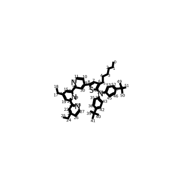 CCCCCCc1cc(-c2ccnc(-c3cc(CC)cc(-c4cc(CC)ccn4)n3)c2)sc1N(c1ccc(C(C)(C)C)cc1)c1ccc(C(C)(C)C)cc1